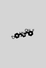 COc1ccc(C[C@@]2(C)CC[C@H]([C@H](O)c3cccc(F)c3)N2)cc1